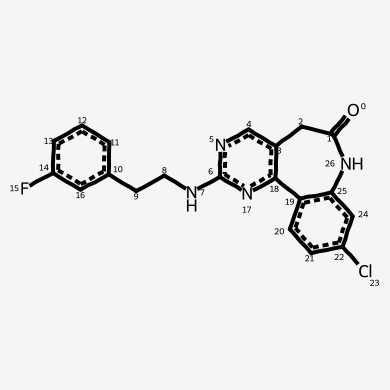 O=C1Cc2cnc(NCCc3cccc(F)c3)nc2-c2ccc(Cl)cc2N1